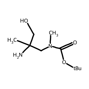 CN(CC(C)(N)CO)C(=O)OC(C)(C)C